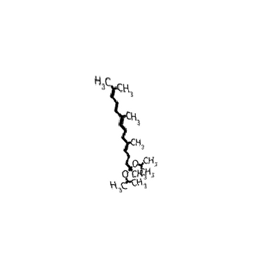 CC(C)=CCC/C(C)=C/CC/C(C)=C/CCC(C)(OC(C)C)OC(C)C